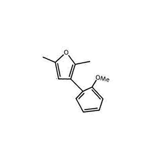 COc1ccccc1-c1[c]c(C)oc1C